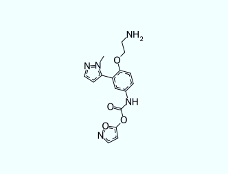 Cn1nccc1-c1cc(NC(=O)Oc2ccno2)ccc1OCCN